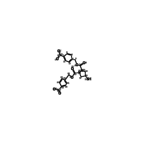 O=C(OCc1ccc([N+](=O)[O-])cc1)N1CC(S)CN1C(=O)OCc1ccc([N+](=O)[O-])cc1